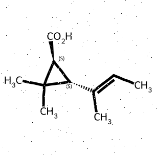 CC=C(C)[C@H]1[C@H](C(=O)O)C1(C)C